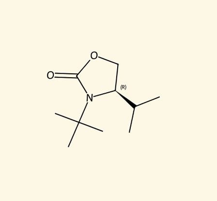 CC(C)[C@@H]1COC(=O)N1C(C)(C)C